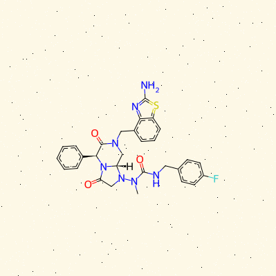 CN(C(=O)NCc1ccc(F)cc1)N1CC(=O)N2[C@@H](c3ccccc3)C(=O)N(Cc3cccc4sc(N)nc34)C[C@@H]21